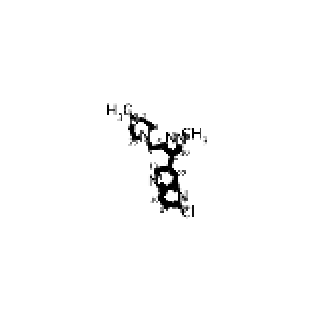 CN1CCN(Cc2nn(C)cc2-c2cnc3ccc(Cl)nc3c2)CC1